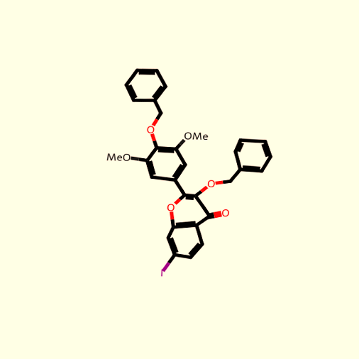 COc1cc(-c2oc3cc(I)ccc3c(=O)c2OCc2ccccc2)cc(OC)c1OCc1ccccc1